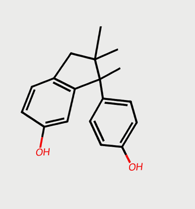 CC1(C)Cc2ccc(O)cc2C1(C)c1ccc(O)cc1